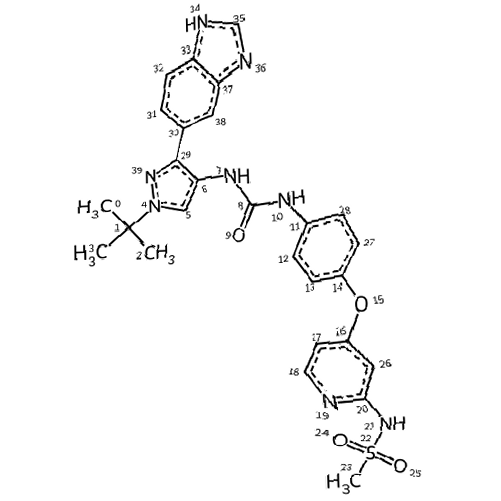 CC(C)(C)n1cc(NC(=O)Nc2ccc(Oc3ccnc(NS(C)(=O)=O)c3)cc2)c(-c2ccc3[nH]cnc3c2)n1